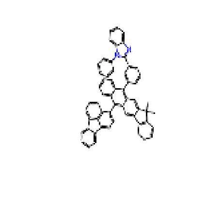 CC1(C)C2=C(CCC=C2)c2cc3c(-c4ccc5c6c(cccc46)-c4ccccc4-5)c4ccccc4c(-c4cccc(-c5nc6ccccc6n5-c5ccccc5)c4)c3cc21